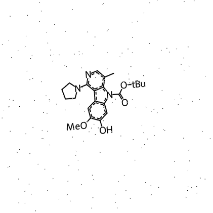 COc1cc2c3c(N4CCCC4)ncc(C)c3n(C(=O)OC(C)(C)C)c2cc1O